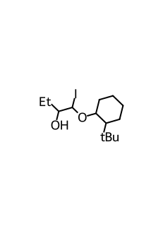 CCC(O)C(I)OC1CCCCC1C(C)(C)C